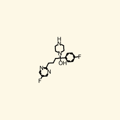 O[C@](CCCc1ncc(F)cn1)(c1ccc(F)cc1)N1CCNCC1